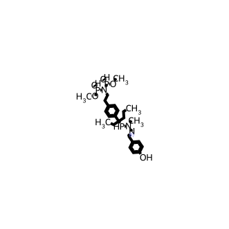 CCCC(CC)(PN(C)/N=C/c1ccc(O)cc1)c1ccc(CCN([PH](=O)OC)[PH](=O)OC)cc1